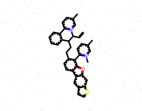 C=CC1C(CCc2ccc3c(oc4cc5sccc5cc43)c2-c2ccc(C)c[n+]2C)c2ccccc2-c2ccc(C)c[n+]21